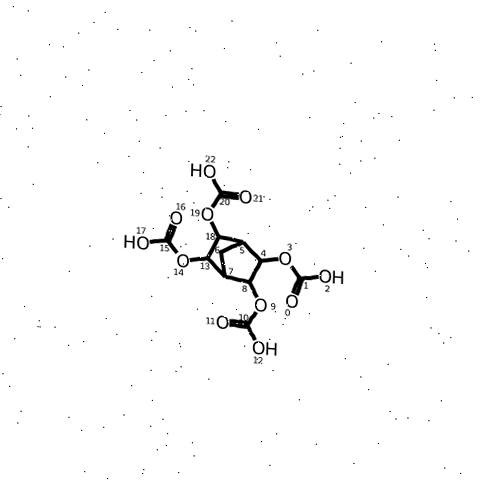 O=C(O)OC1C2CC(C1OC(=O)O)C(OC(=O)O)C2OC(=O)O